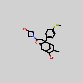 CSC1=CC=C(C2(CC(=O)N3CC(O)C3)C(C)CC3CC2CC(C)C3O)CC1